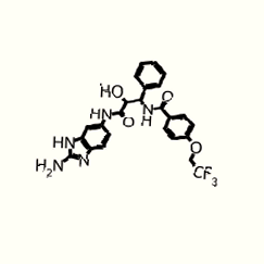 Nc1nc2ccc(NC(=O)C(O)C(NC(=O)c3ccc(OCC(F)(F)F)cc3)c3ccccc3)cc2[nH]1